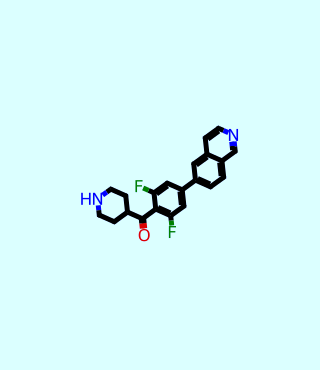 O=C(c1c(F)cc(-c2ccc3cnccc3c2)cc1F)C1CCNCC1